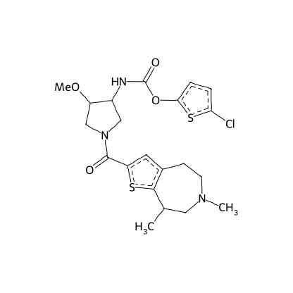 COC1CN(C(=O)c2cc3c(s2)C(C)CN(C)CC3)CC1NC(=O)Oc1ccc(Cl)s1